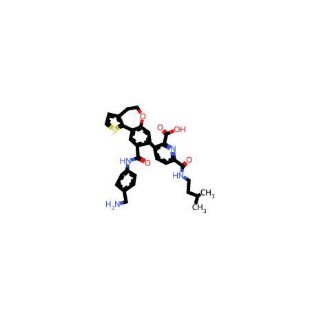 CC(C)CCNC(=O)c1ccc(-c2cc3c(cc2C(=O)Nc2ccc(CN)cc2)-c2sccc2CCO3)c(C(=O)O)n1